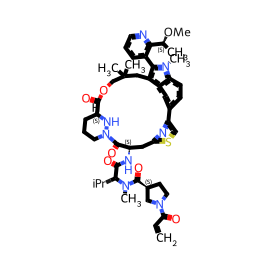 C=CC(=O)N1CC[C@H](C(=O)N(C)C(C(=O)N[C@H]2Cc3nc(cs3)-c3ccc4c(c3)c(c(-c3cccnc3[C@H](C)OC)n4C)CC(C)(C)COC(=O)[C@@H]3CCCN(N3)C2=O)C(C)C)C1